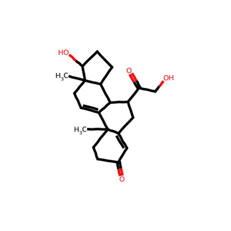 CC12CCC(=O)C=C1CC(C(=O)CO)C1C2=CCC2(C)C(O)CCC12